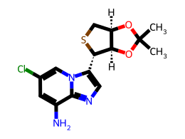 CC1(C)O[C@@H]2[C@@H](CS[C@H]2c2cnc3c(N)cc(Cl)cn23)O1